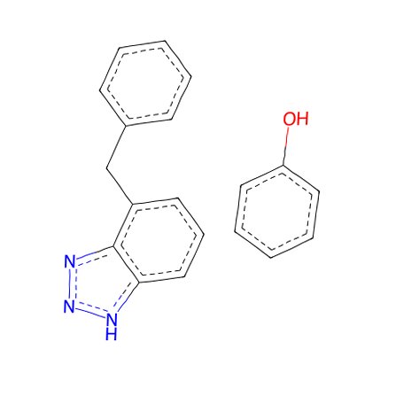 Oc1ccccc1.c1ccc(Cc2cccc3[nH]nnc23)cc1